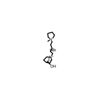 Br.C[N+]1(CCCCC[N+]23CCC(CC2)C(O)C3)CCCCC1